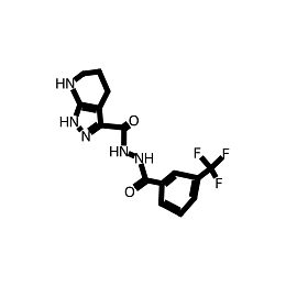 O=C(NNC(=O)c1n[nH]c2c1CCCN2)c1cccc(C(F)(F)F)c1